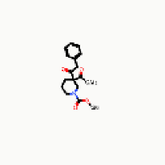 COC(=O)C1(C(=O)Cc2ccccc2)CCCN(C(=O)OC(C)(C)C)C1